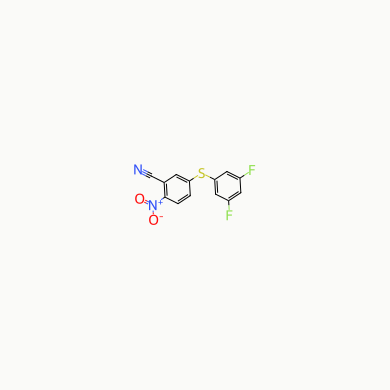 N#Cc1cc(Sc2cc(F)cc(F)c2)ccc1[N+](=O)[O-]